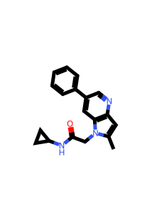 Cc1cc2ncc(-c3ccccc3)cc2n1CC(=O)NC1CC1